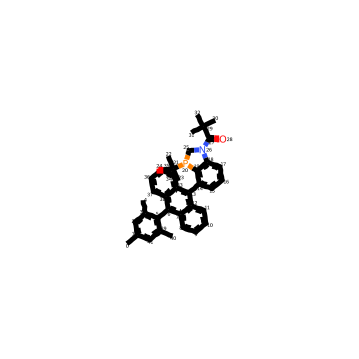 Cc1cc(C)c(-c2c3ccccc3c(-c3cccc4c3P(C(C)(C)C)CN4C(=O)C(C)(C)C)c3ccccc23)c(C)c1